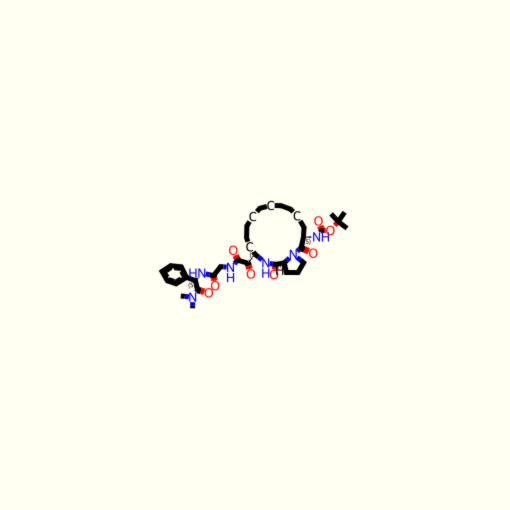 CN(C)C(=O)[C@@H](NC(=O)CNC(=O)C(=O)[C@@H]1CCCCCCCCCC[C@H](NC(=O)OC(C)(C)C)C(=O)N2CCC[C@H]2C(=O)N1)c1ccccc1